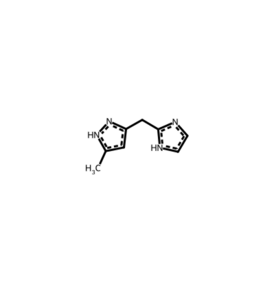 Cc1cc(Cc2ncc[nH]2)n[nH]1